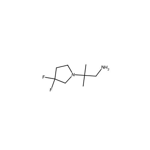 CC(C)(CN)N1CCC(F)(F)C1